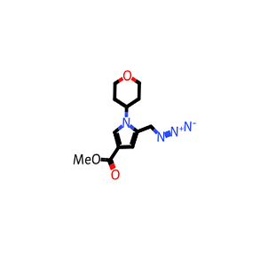 COC(=O)c1cc(CN=[N+]=[N-])n(C2CCOCC2)c1